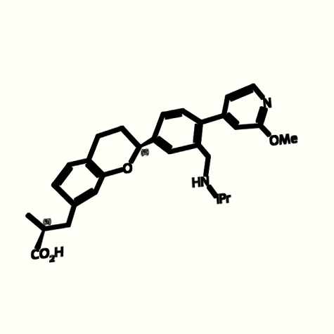 COc1cc(-c2ccc([C@@H]3CCc4ccc(C[C@H](C)C(=O)O)cc4O3)cc2CNC(C)C)ccn1